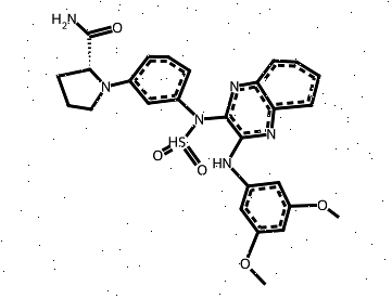 COc1cc(Nc2nc3ccccc3nc2N(c2cccc(N3CCC[C@@H]3C(N)=O)c2)[SH](=O)=O)cc(OC)c1